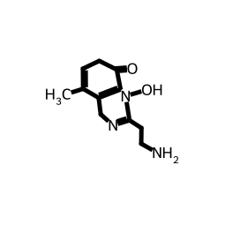 CC1=CCC(=O)C2=C1CN=C(CCN)N2O